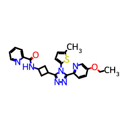 CCOc1ccc(-c2nnc(C3CC(NC(=O)c4ccccn4)C3)n2-c2ccc(C)s2)nc1